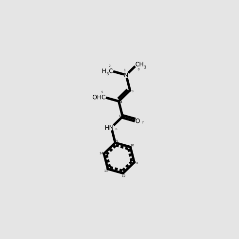 CN(C)/C=C(\C=O)C(=O)Nc1ccccc1